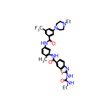 CCNC(=O)Nc1nc2ccc(C(=O)Nc3cc(NC(=O)c4cc(N5CCN(CC)CC5)cc(C(F)(F)F)c4)ccc3C)cc2s1